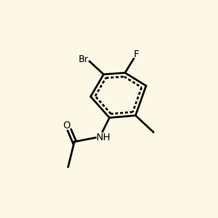 CC(=O)Nc1cc(Br)c(F)cc1C